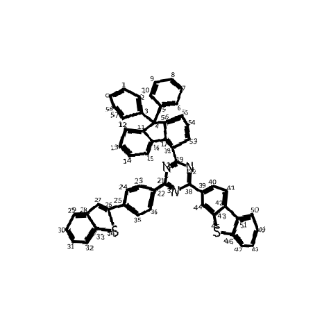 c1ccc(C2(c3ccccc3)c3ccccc3-c3c(-c4nc(-c5ccc(-c6cc7ccccc7s6)cc5)nc(-c5ccc6c(c5)sc5ccccc56)n4)cccc32)cc1